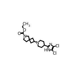 CCOC(=O)N1CCC2(CC(N3CCC(c4nc(Cl)c(Cl)[nH]4)CC3)C2)C1